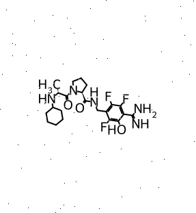 C[C@@H](NC1CCCCC1)C(=O)N1CCC[C@H]1C(=O)NCc1c(F)c(O)c(C(=N)N)c(F)c1F